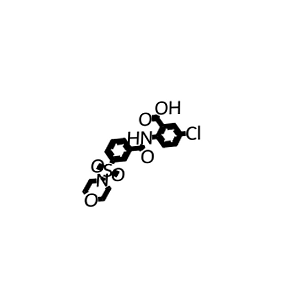 O=C(Nc1ccc(Cl)cc1C(=O)O)c1cccc(S(=O)(=O)N2CCOCC2)c1